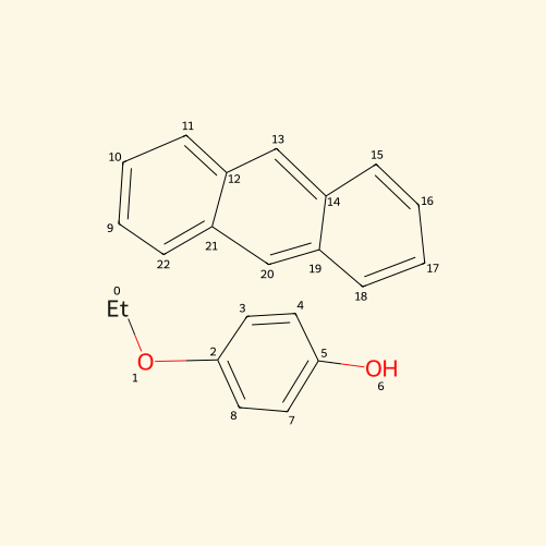 CCOc1ccc(O)cc1.c1ccc2cc3ccccc3cc2c1